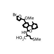 COC(c1ccc(C(=O)NC(CCSC)C(=O)O)c(-c2ccccc2C)c1)c1ccc(Br)o1